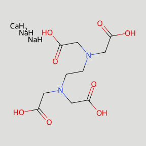 O=C(O)CN(CCN(CC(=O)O)CC(=O)O)CC(=O)O.[CaH2].[NaH].[NaH]